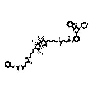 CNC(CCCCNC(=O)CCC(=O)Oc1cccc(-c2nc(N3CCOCC3)c3oc4ccccc4c3n2)c1)C(=O)C(C)(C)C(C)(C)NC(CCCCNC(=O)CCC(=O)OC(=O)OCc1ccccc1)C(C)=O